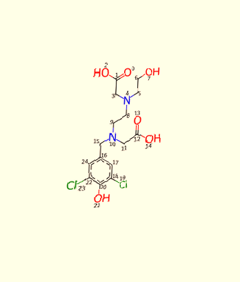 O=C(O)CN(CCO)CCN(CC(=O)O)Cc1cc(Cl)c(O)c(Cl)c1